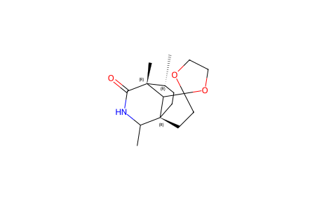 CC1NC(=O)[C@@]2(C)C3C4(CC[C@@]13CC[C@H]2C)OCCO4